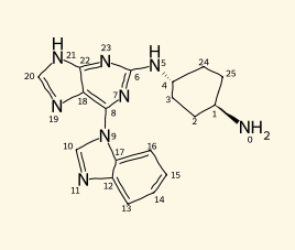 N[C@H]1CC[C@H](Nc2nc(-n3cnc4ccccc43)c3nc[nH]c3n2)CC1